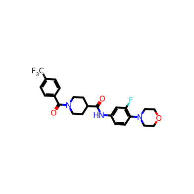 O=C(Nc1ccc(N2CCOCC2)c(F)c1)C1CCN(C(=O)c2ccc(C(F)(F)F)cc2)CC1